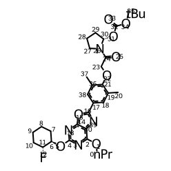 CCCOc1nc(O[C@@H]2CCCC[C@H]2F)nc2oc(-c3cc(C)c(OCC(=O)N4CCC[C@@H]4OC(=O)OC(C)(C)C)c(C)c3)nc12